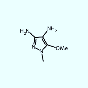 COc1c(N)c(N)nn1C